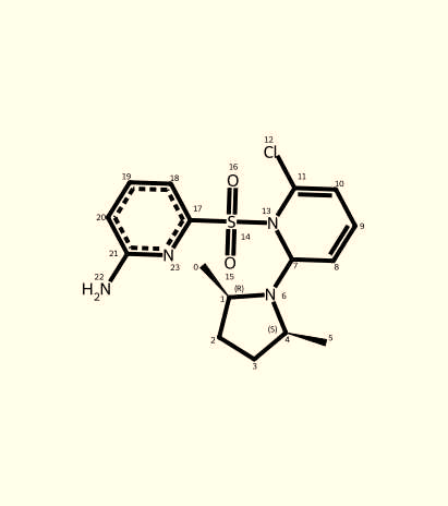 C[C@@H]1CC[C@H](C)N1C1C=CC=C(Cl)N1S(=O)(=O)c1cccc(N)n1